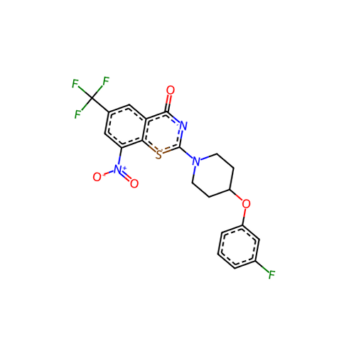 O=c1nc(N2CCC(Oc3cccc(F)c3)CC2)sc2c([N+](=O)[O-])cc(C(F)(F)F)cc12